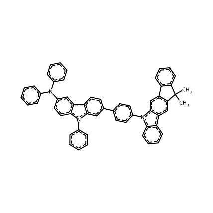 CC1(C)c2ccccc2-c2cc3c(cc21)c1ccccc1n3-c1ccc(-c2ccc3c4cc(N(c5ccccc5)c5ccccc5)ccc4n(-c4ccccc4)c3c2)cc1